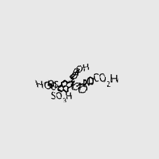 O=C(O)C1CCN(C(=O)COc2cc(SOOO)c3ccc4c(SOOO)cc(S(=O)(=O)O)c5ccc2c3c45)CC1